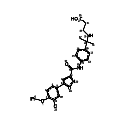 CC(C)Oc1ccc(-c2cc(C(=O)Nc3ccc(C(C)(C)NCCC(=O)O)cc3)no2)cc1Cl